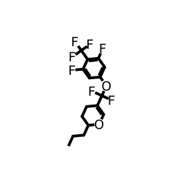 CCCC1CCC(C(F)(F)Oc2cc(F)c(C(F)(F)F)c(F)c2)=CO1